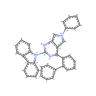 c1ccc(-c2ccccc2-c2nc(-n3c4ccccc4c4ccccc43)nc3cn(-c4ccccc4)cc23)cc1